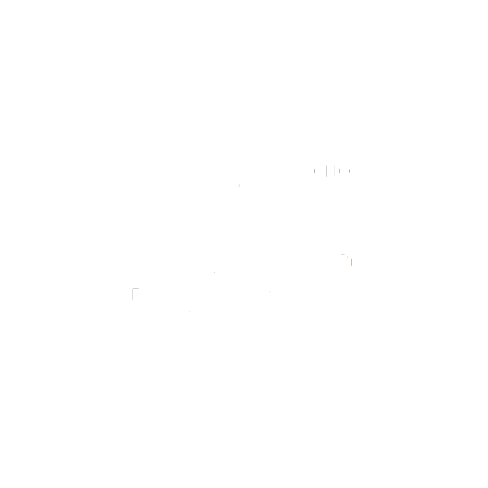 CCSc1ccc(C=O)c(Br)c1